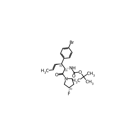 CC=C[C@@H](c1ccc(Br)cc1)[C@H](NC(=O)OC(C)(C)C)C(=O)N1CC[C@H](F)C1